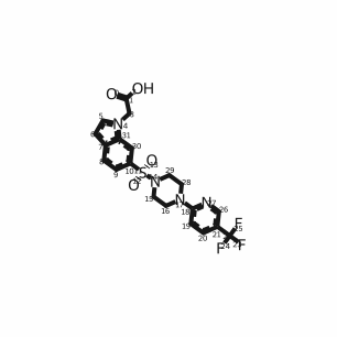 O=C(O)Cn1ccc2ccc(S(=O)(=O)N3CCN(c4ccc(C(F)(F)F)cn4)CC3)cc21